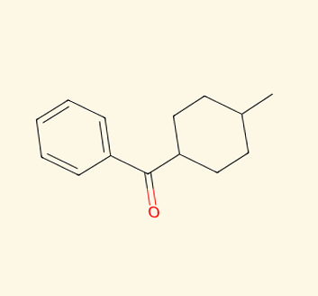 CC1CCC(C(=O)c2ccccc2)CC1